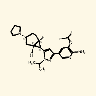 CC(C)n1nc(-c2cnc(N)c(OC(F)F)c2)cc1[C@H]1[C@@H]2C[C@H](N3CCCC3)C[C@@H]21